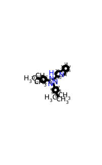 CC(C)(C)c1ccc(C2=NC(C3=CN4Cc5ccccc5C4C=C3)NC(c3ccc(C(C)(C)C)cc3)=N2)cc1